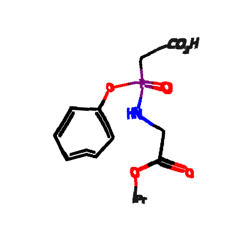 CC(C)OC(=O)CNP(=O)(CC(=O)O)Oc1ccccc1